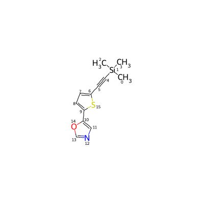 C[Si](C)(C)C#Cc1ccc(-c2cnco2)s1